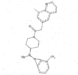 Cc1cc(CC(=O)N2CCC(N(N=O)N3c4cccc(C(F)(F)F)c43)CC2)cc2cccnc12